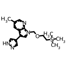 Cc1cnc2c(c1)c(-c1cn[nH]c1)cn2COCC[Si](C)(C)C